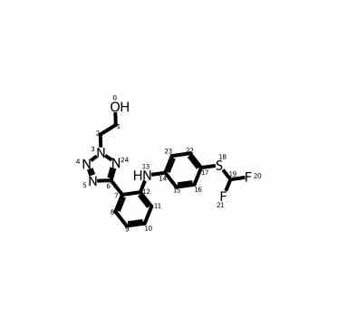 OCCn1nnc(-c2ccccc2Nc2ccc(SC(F)F)cc2)n1